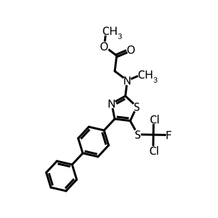 COC(=O)CN(C)c1nc(-c2ccc(-c3ccccc3)cc2)c(SC(F)(Cl)Cl)s1